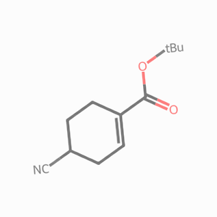 CC(C)(C)OC(=O)C1=CCC(C#N)CC1